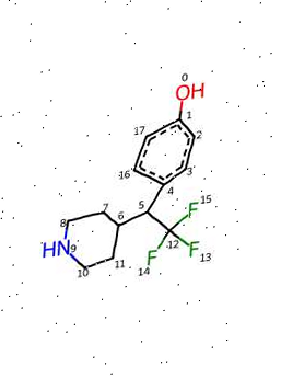 Oc1ccc(C(C2CCNCC2)C(F)(F)F)cc1